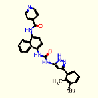 Cc1c(-c2cc(NC(=O)Nc3ccc(NC(=O)c4ccncc4)c4ccccc34)[nH]n2)cccc1C(C)(C)C